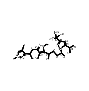 Cc1cn(C)nc1C(C)Cc1nn(C)c(C(C)CCC(C)n2nc(C(F)(F)F)cc2C(C)C)c1C